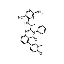 CC(Nc1nc(N)ncc1C#N)c1nc2cccc(-c3ccc(=O)n(C)c3)c2c(=O)n1-c1ccccc1